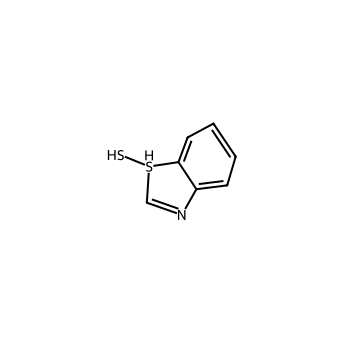 S[SH]1C=Nc2ccccc21